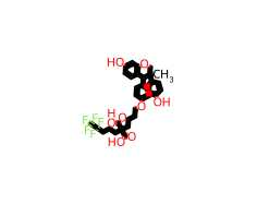 CC1(c2ccc(O)cc2)COc2cc(O)ccc2C1c1ccc(OCCCCC(CCCC(F)(F)C(F)(F)F)(C(=O)O)C(=O)O)cc1